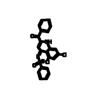 O=C(c1ccccc1)c1c/c(=N/S(=O)(=O)c2ccccc2)c2c(Cl)cc(Cl)cc2[nH]1